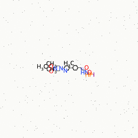 Cc1cc(/C=C/C(=O)NOPI)ccc1-c1ccc(N2CCN(C(=O)OC(C)(C)C)CC2)nc1